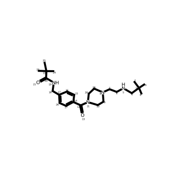 CC(C)(C)CNCCN1CCN(C(=O)c2ccc(CNC(=O)C(C)(C)C)cc2)CC1